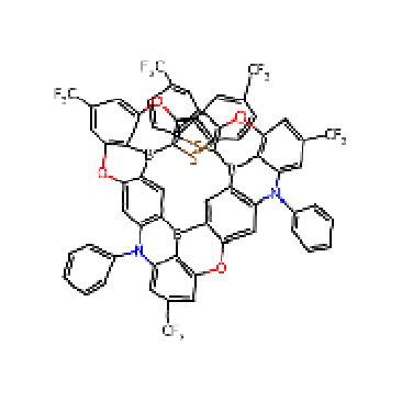 FC(F)(F)c1cc2c3c(c1)Oc1c(sc4ccc(C(F)(F)F)cc14)B3c1cc3c(cc1O2)N(c1ccccc1)c1cc(C(F)(F)F)cc2c1B3c1cc3c(cc1O2)N(c1ccccc1)c1cc(C(F)(F)F)cc2c1B3c1sc3ccc(C(F)(F)F)cc3c1O2